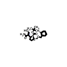 CC(C)(C)OC(=O)N1C(/C(=C/O)C(N)=O)CC[C@H]1COCc1ccccc1